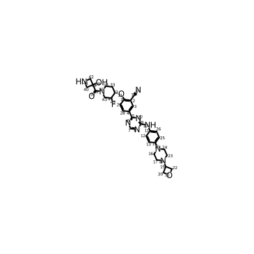 N#Cc1cc(-c2ncnc(Nc3ccc(N4CCN(C5COC5)CC4)cc3)n2)ccc1O[C@H]1CCN(C(=O)C2(O)CNC2)C[C@@H]1F